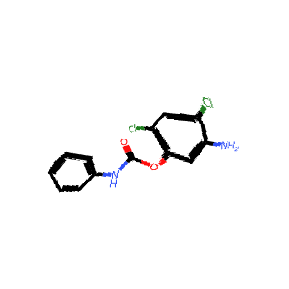 Nc1cc(OC(=O)Nc2ccccc2)c(Cl)cc1Cl